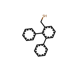 SCc1cccc(-c2ccccc2)c1-c1ccccc1